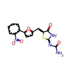 NC(=O)/N=C1\NC(=O)/C(=C/c2ccc(-c3ccccc3[N+](=O)[O-])o2)S1